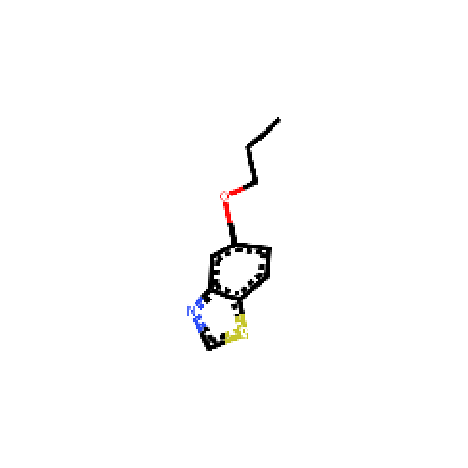 CCCOc1ccc2scnc2c1